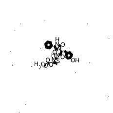 COC(=O)Oc1csc(NC(=O)[C@@H](Cc2ccc(O)cc2)N2C(=O)N[C@@H](c3ccccc3)C2=O)n1